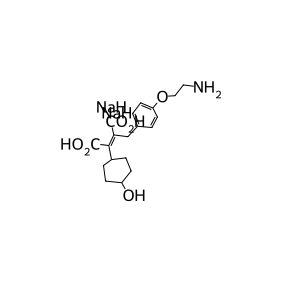 NCCOc1ccc(C/C(C(=O)O)=C(/C(=O)O)C2CCC(O)CC2)cc1.[NaH].[NaH]